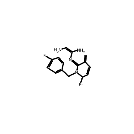 C=C1C=CC(CC)N(Cc2ccc(F)cc2)/C1=N/C(N)=C\N